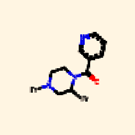 CC(C)C1CN(C(C)C)CCN1C(=O)c1cccnc1